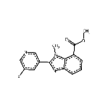 COC(=O)c1cccc2nc(-c3cncc(F)c3)n(C)c12